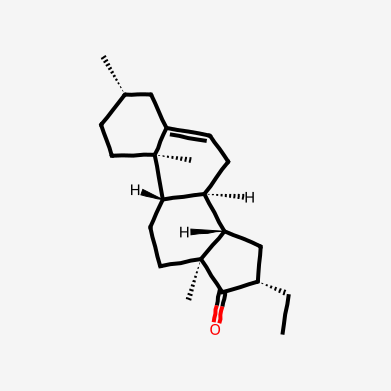 CC[C@H]1C[C@H]2[C@@H]3CC=C4C[C@@H](C)CC[C@]4(C)[C@H]3CC[C@]2(C)C1=O